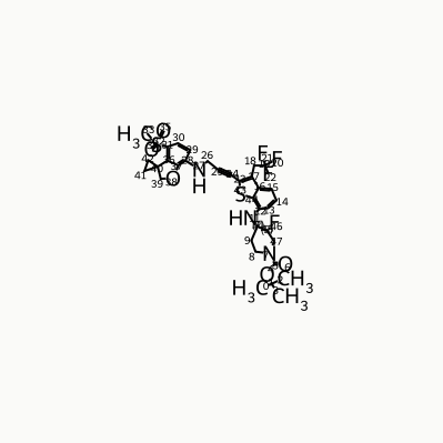 CC(C)(C)OC(=O)N1CC[C@@H](Nc2cccc3c(CC(F)(F)F)c(C#CCNc4ccc(S(C)(=O)=O)c5c4OCC54CC4)sc23)[C@@H](F)C1